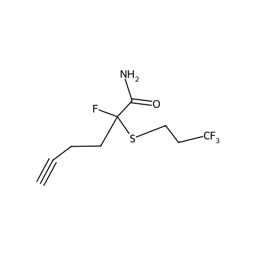 C#CCCC(F)(SCCC(F)(F)F)C(N)=O